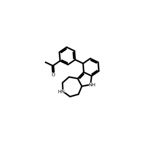 CC(=O)c1cccc(C2C=CC=C3NC4CCNCCC4=C32)c1